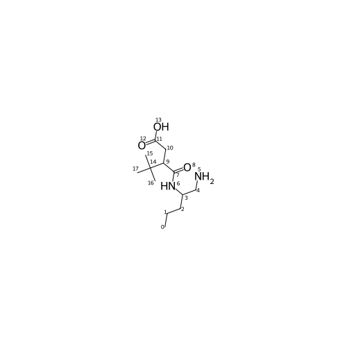 CCCC(CN)NC(=O)C(CC(=O)O)C(C)(C)C